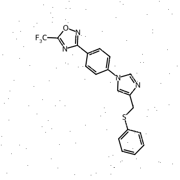 FC(F)(F)c1nc(-c2ccc(-n3cnc(CSc4ccccc4)c3)cc2)no1